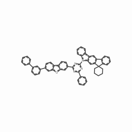 c1ccc(-c2cccc(-c3ccc4c(c3)oc3cc(-c5nc(-c6ccccc6)nc(-n6c7ccccc7c7cc8c(cc76)C6(CCCCC6)c6ccccc6-8)n5)ccc34)c2)cc1